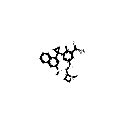 COc1cc(C2(c3cc(OCC4CCN4C)cc(C(N)=O)c3C)CC2)c2ccccc2c1